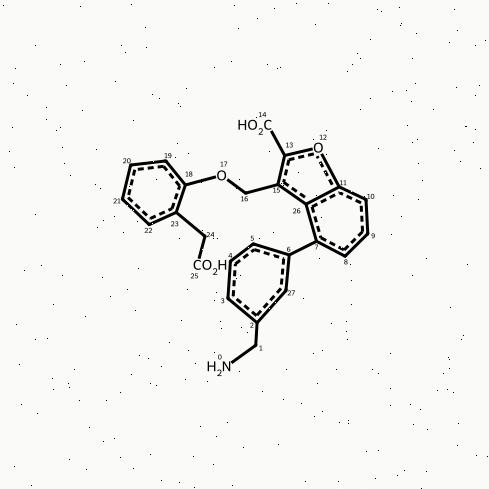 NCc1cccc(-c2cccc3oc(C(=O)O)c(COc4ccccc4CC(=O)O)c23)c1